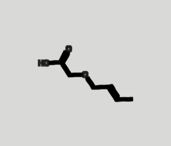 C/C=C/COCC(=O)O